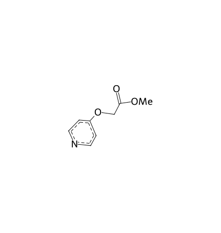 COC(=O)COc1ccncc1